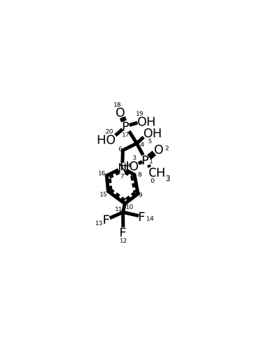 CP(=O)(O)C(O)(C[n+]1ccc(C(F)(F)F)cc1)P(=O)(O)O